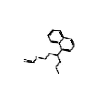 CCCC(CCO[C]=O)c1cccc2ccccc12